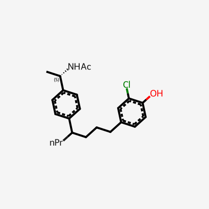 CCCC(CCCc1ccc(O)c(Cl)c1)c1ccc([C@H](C)NC(C)=O)cc1